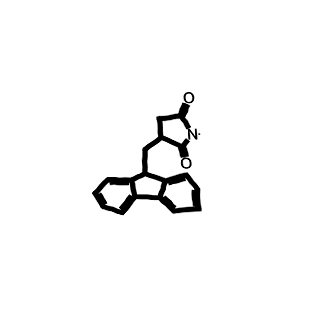 O=C1CC(CC2c3ccccc3-c3ccccc32)C(=O)[N]1